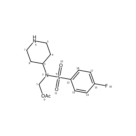 CC(=O)OCN(C1CCNCC1)S(=O)(=O)c1ccc(F)cc1